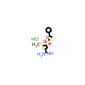 CSc1sc(C(=N)N)cc1S(=O)(=O)c1nc(-c2ccccc2)cs1.Cl